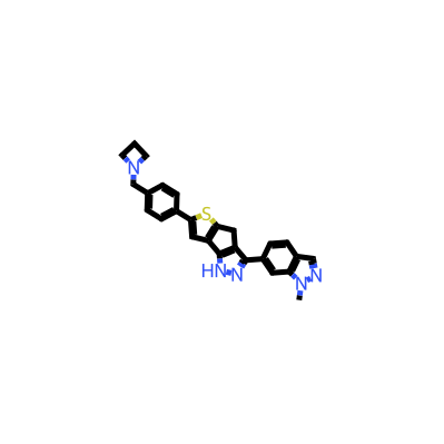 Cn1ncc2ccc(-c3n[nH]c4c3Cc3sc(-c5ccc(CN6CCC6)cc5)cc3-4)cc21